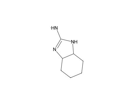 [NH]C1=NC2CCCCC2N1